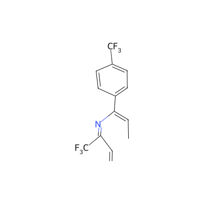 C=C/C(=N\C(=C/C)c1ccc(C(F)(F)F)cc1)C(F)(F)F